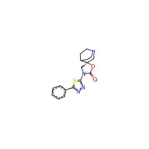 O=C1O[C@]2(CN3CCC2CC3)CN1c1nnc(-c2ccccc2)s1